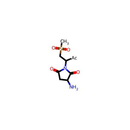 CC(=O)C(CS(C)(=O)=O)N1C(=O)CC(N)C1=O